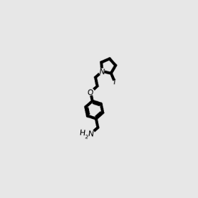 NCc1ccc(OCCN2CCCC2I)cc1